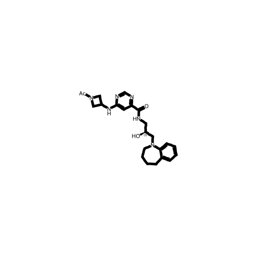 CC(=O)N1CC(Nc2cc(C(=O)NC[C@H](O)CN3CCCCc4ccccc43)ncn2)C1